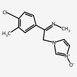 CN=C(Cn1cc[n+]([O-])c1)c1ccc(Cl)c(C)c1